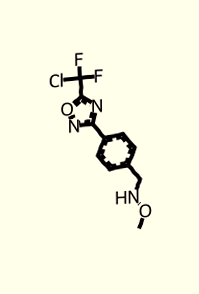 CONCc1ccc(-c2noc(C(F)(F)Cl)n2)cc1